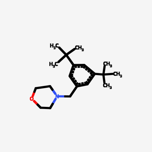 CC(C)(C)c1cc(CN2CCOCC2)cc(C(C)(C)C)c1